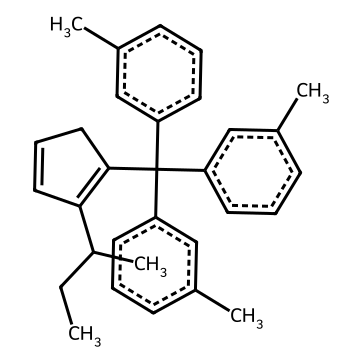 CCC(C)C1=C(C(c2cccc(C)c2)(c2cccc(C)c2)c2cccc(C)c2)CC=C1